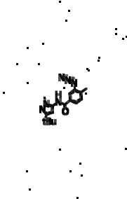 Cc1ccc(C(=O)Nc2cc(C(C)(C)C)nn2C)cc1N=[N+]=[N-]